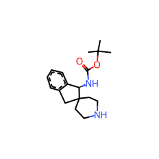 CC(C)(C)OC(=O)N[C@@H]1c2ccccc2CC12CCNCC2